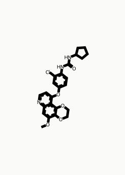 COc1cc2nccc(Oc3ccc(NC(=O)NC4CCCC4)c(Cl)c3)c2c2c1OCCO2